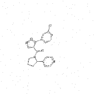 O=C(c1cnoc1-c1cccc(Cl)c1)N1CCCC1c1ccncc1